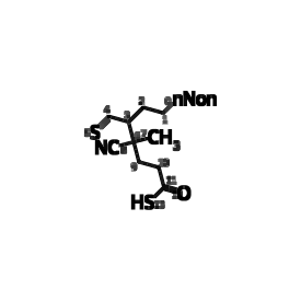 CCCCCCCCCCCC(C=S)C(C)(C#N)CCC(=O)S